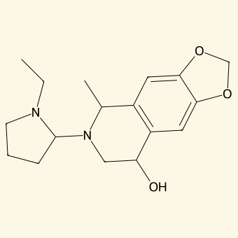 CCN1CCCC1N1CC(O)c2cc3c(cc2C1C)OCO3